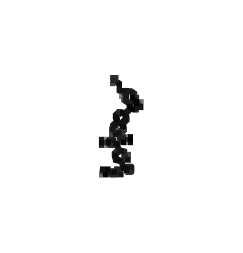 CNC(=O)c1ccc(C(O)Nc2cc3cc(-c4cnn5c4CN(CCF)CC5)ccc3cn2)cn1